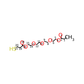 CCC(=O)OCCOCCOCCOCCOC(=O)CCS